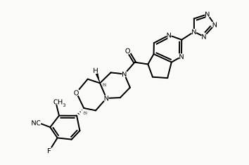 Cc1c([C@H]2CN3CCN(C(=O)C4CCc5nc(-n6cnnn6)ncc54)C[C@H]3CO2)ccc(F)c1C#N